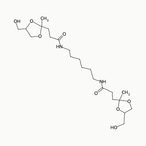 CC1(CCC(=O)NCCCCCCNC(=O)CCC2(C)OCC(CO)O2)OCC(CO)O1